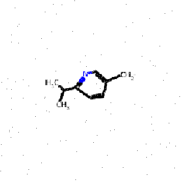 [CH2]c1ccc(C(C)C)nc1